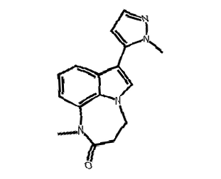 CN1C(=O)CCn2cc(-c3ccnn3C)c3cccc1c32